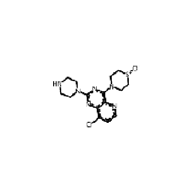 [O-][S+]1CCN(c2nc(N3CCNCC3)nc3c(Cl)ccnc23)CC1